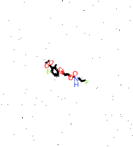 Cc1c(OCCOC(=O)NCCCF)ccc(F)c1C1OCCO1